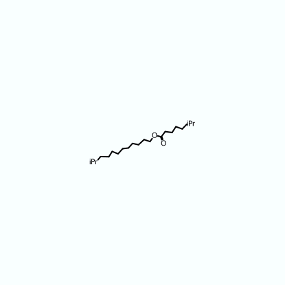 CC(C)CCCCCCCCCCOC(=O)CCCCC(C)C